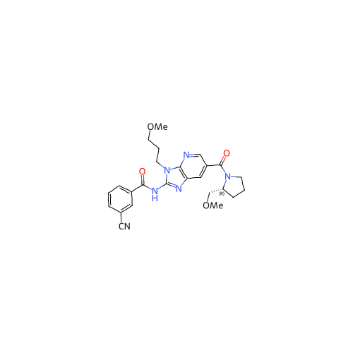 COCCCn1c(NC(=O)c2cccc(C#N)c2)nc2cc(C(=O)N3CCC[C@@H]3COC)cnc21